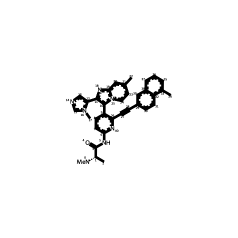 CN[C@@H](C)C(=O)Nc1ccc(-c2c(-c3cncn3C)nc3cc(C)ccn23)c(C#Cc2ccc3c(C)cccc3c2)n1